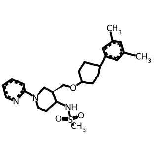 Cc1cc(C)cc(C2CCC(OC[C@@H]3CN(c4ccccn4)CCC3NS(C)(=O)=O)CC2)c1